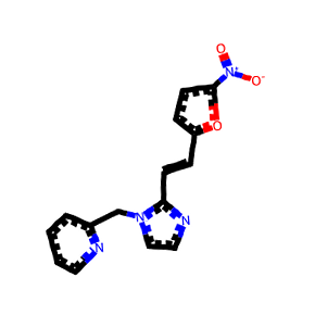 O=[N+]([O-])c1ccc(C=Cc2nccn2Cc2ccccn2)o1